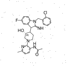 CC(=O)Nc1ccc(C)nc1N1CCC(C2C(=N)N(Cc3ccccc3Cl)c3ccc(F)cc32)[C@@H](O)C1